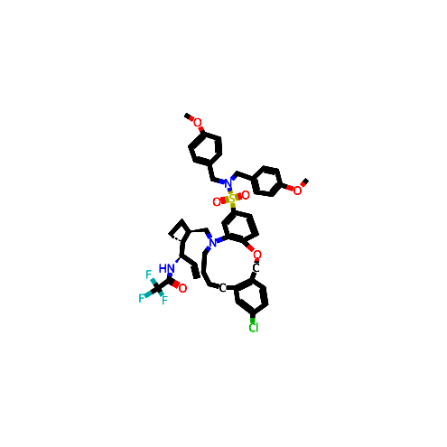 C=C[C@H](NC(=O)C(F)(F)F)[C@@H]1CC[C@H]1CN1CCCCc2cc(Cl)ccc2COc2ccc(S(=O)(=O)N(Cc3ccc(OC)cc3)Cc3ccc(OC)cc3)cc21